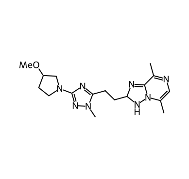 COC1CCN(c2nc(CCC3N=C4C(C)=NC=C(C)N4N3)n(C)n2)C1